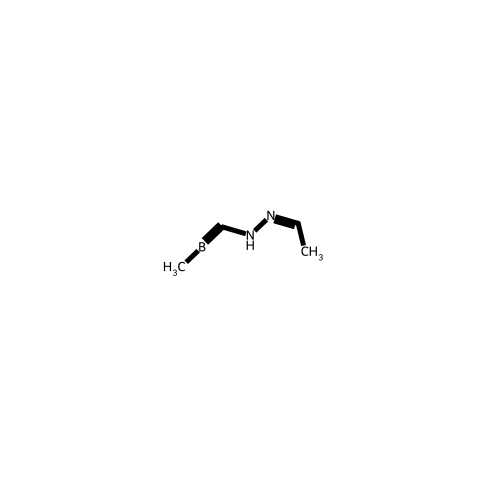 C/B=C\N/N=C\C